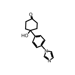 O=C1CCC(O)(c2ccc(-n3ccnc3)cc2)CC1